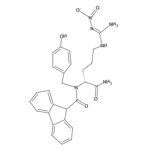 NC(=O)[C@@H](CCCNC(N)=N[N+](=O)[O-])N(Cc1ccc(O)cc1)C(=O)C1c2ccccc2-c2ccccc21